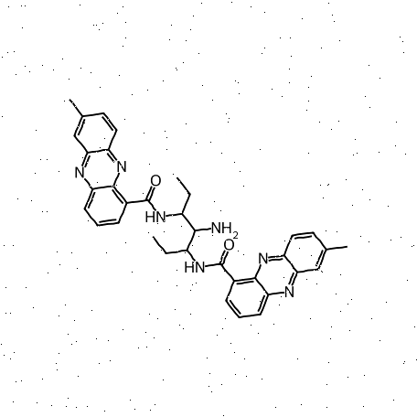 CCC(NC(=O)c1cccc2nc3cc(C)ccc3nc12)C(N)C(CC)NC(=O)c1cccc2nc3cc(C)ccc3nc12